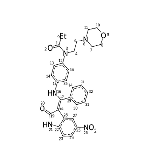 CCC(=O)N(CCN1CCOCC1)c1ccc(N/C(=C2\C(=O)Nc3ccc([N+](=O)[O-])cc32)c2ccccc2)cc1